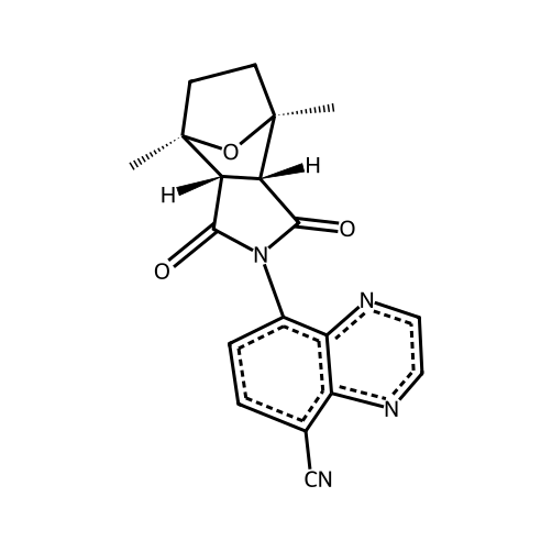 C[C@]12CC[C@](C)(O1)[C@@H]1C(=O)N(c3ccc(C#N)c4nccnc34)C(=O)[C@@H]12